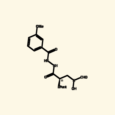 CCCCC[C@H](CN(O)C=O)C(=O)NNC(=O)c1cccc(OC)c1